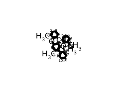 Cc1ccccc1Oc1cc(C)c(-c2ccccc2C)c(Oc2ccccc2C)c1C